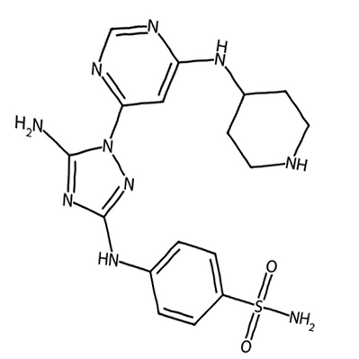 Nc1nc(Nc2ccc(S(N)(=O)=O)cc2)nn1-c1cc(NC2CCNCC2)ncn1